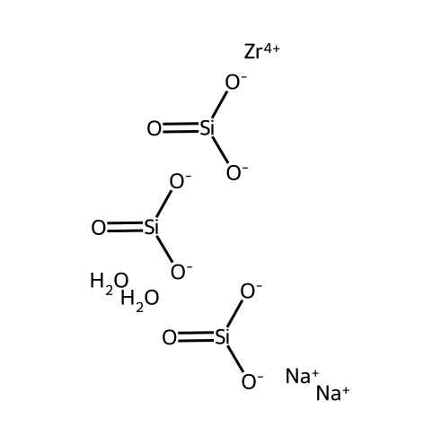 O.O.O=[Si]([O-])[O-].O=[Si]([O-])[O-].O=[Si]([O-])[O-].[Na+].[Na+].[Zr+4]